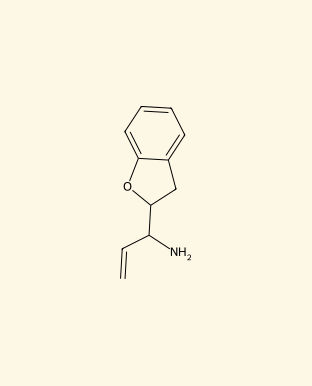 C=CC(N)C1Cc2ccccc2O1